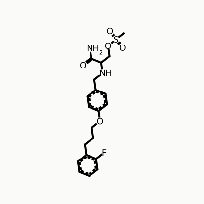 CS(=O)(=O)OCC(NCc1ccc(OCCCc2ccccc2F)cc1)C(N)=O